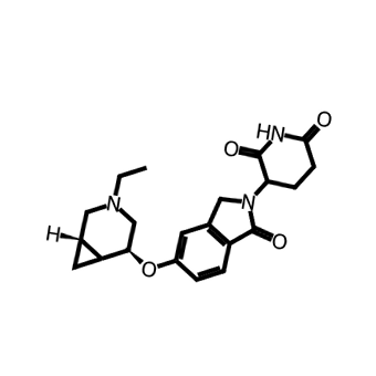 CCN1C[C@H]2CC2[C@H](Oc2ccc3c(c2)CN(C2CCC(=O)NC2=O)C3=O)C1